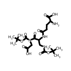 CC(C)(C)OC(=O)SCC(NC(=O)CCC(N)C(=O)O)C(=O)N(CC(=O)O)C(=O)OC(C)(C)C